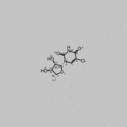 C[C@H]1O[C@@H](n2cc(Cl)c(=O)[nH]c2=O)[C@H](O)[C@@H]1O